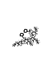 CC1O[C@H](O[C@@H]2C(OCc3ccccc3)[C@@H](OC3[C@@H](C)[C@H](N=[N+]=[N-])C(C)O[C@@H]3C)OC(C)[C@H]2N=[N+]=[N-])C(O[C@H]2OC(C)[C@@H](N=[N+]=[N-])[C@H](C)C2OC(=O)c2ccccc2)[C@@H](C)[C@@H]1N=[N+]=[N-]